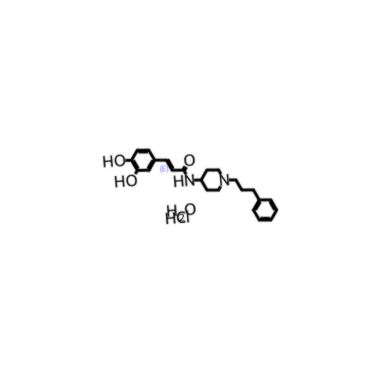 Cl.O.O=C(/C=C/c1ccc(O)c(O)c1)NC1CCN(CCCc2ccccc2)CC1